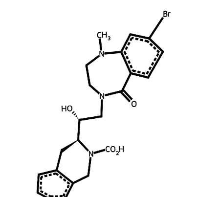 CN1CCN(C[C@@H](O)[C@@H]2Cc3ccccc3CN2C(=O)O)C(=O)c2ccc(Br)cc21